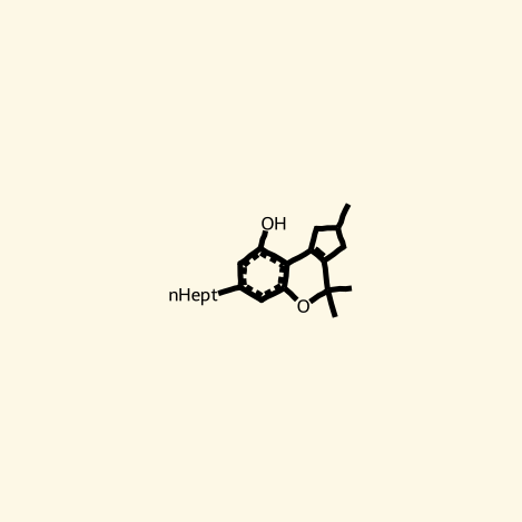 CCCCCCCc1cc(O)c2c(c1)OC(C)(C)C1=C2CC(C)C1